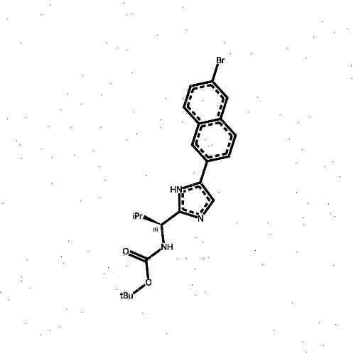 CC(C)[C@H](NC(=O)OC(C)(C)C)c1ncc(-c2ccc3cc(Br)ccc3c2)[nH]1